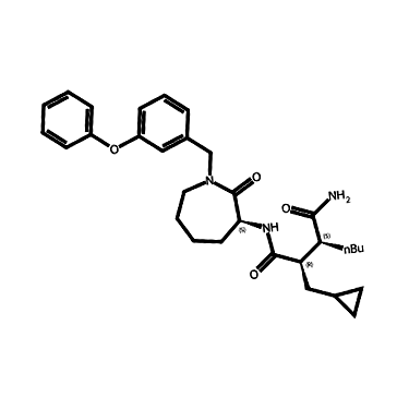 CCCC[C@H](C(N)=O)[C@@H](CC1CC1)C(=O)N[C@H]1CCCCN(Cc2cccc(Oc3ccccc3)c2)C1=O